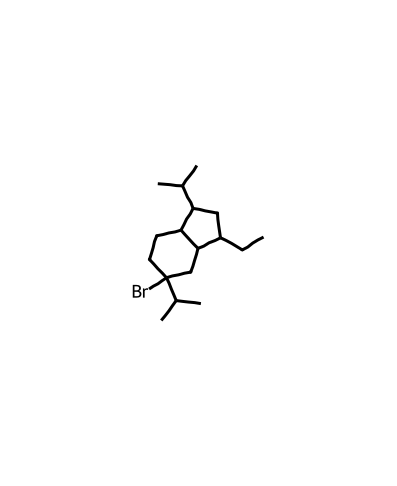 CCC1CC(C(C)C)C2CCC(Br)(C(C)C)CC12